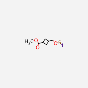 COC(=O)C1CC(COSI)C1